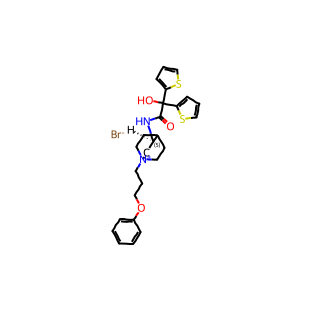 O=C(N[C@@H]1C[N+]2(CCCOc3ccccc3)CCC1CC2)C(O)(c1cccs1)c1cccs1.[Br-]